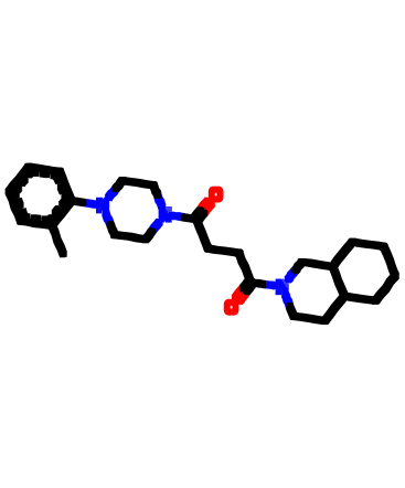 Cc1ccccc1N1CCN(C(=O)CCC(=O)N2CCC3CCCCC3C2)CC1